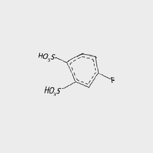 O=S(=O)(O)c1ccc(F)cc1S(=O)(=O)O